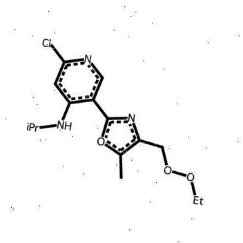 CCOOCc1nc(-c2cnc(Cl)cc2NC(C)C)oc1C